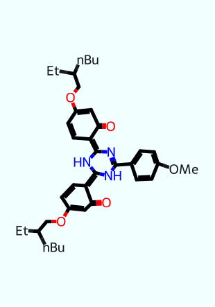 CCCCC(CC)COC1=CC(=O)/C(=C2\N=C(c3ccc(OC)cc3)N/C(=C3/C=CC(OCC(CC)CCCC)=CC3=O)N2)C=C1